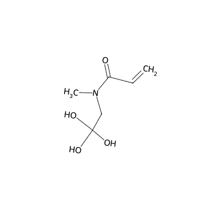 C=CC(=O)N(C)CC(O)(O)O